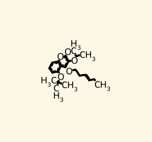 CCC=CCCOc1c(OC(C)C)c(=O)oc2cccc(OC(C)(C)C)c12